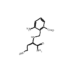 NC(=O)C(CCC=O)NCc1c(N)cccc1C=O